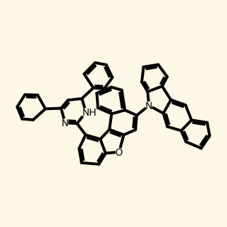 C1=CCC(C2=CC(c3ccccc3)NC(c3cccc4oc5cc(-n6c7ccccc7c7cc8ccccc8cc76)c6ccccc6c5c34)=N2)C=C1